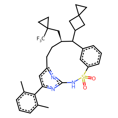 Cc1cccc(C)c1-c1cc2nc(n1)NS(=O)(=O)c1cccc(c1)C(C1CC3(CC3)C1)[C@H](CC1(C(F)(F)F)CC1)CC2